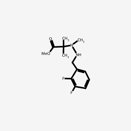 COC(=O)C(C)(C)N(C)NCc1cccc(F)c1F